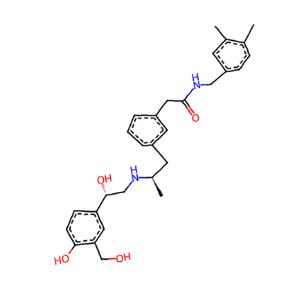 Cc1ccc(CNC(=O)Cc2cccc(C[C@@H](C)NC[C@@H](O)c3ccc(O)c(CO)c3)c2)cc1C